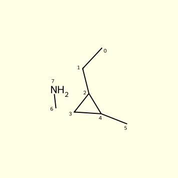 CCC1CC1C.CN